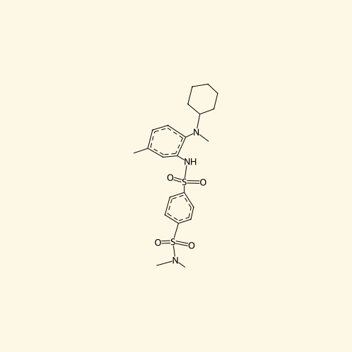 Cc1ccc(N(C)C2CCCCC2)c(NS(=O)(=O)c2ccc(S(=O)(=O)N(C)C)cc2)c1